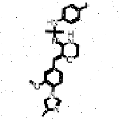 COc1cc(/C=C2\OCCN\C2=N/C(C)(C)Nc2ccc(F)cc2)ccc1N1C=NC(C)C1